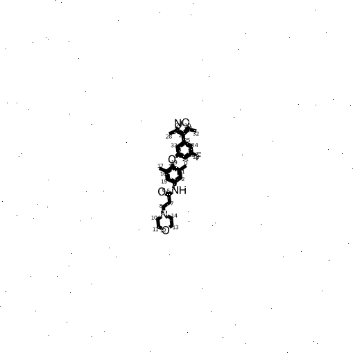 Cc1cc(NC(=O)CCN2CCOCC2)cc(C)c1Oc1cc(F)cc(-c2c(C)noc2C)c1